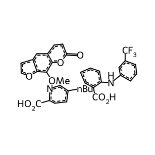 CCCCc1ccc(C(=O)O)nc1.COc1c2occc2cc2ccc(=O)oc12.O=C(O)c1ccccc1Nc1cccc(C(F)(F)F)c1